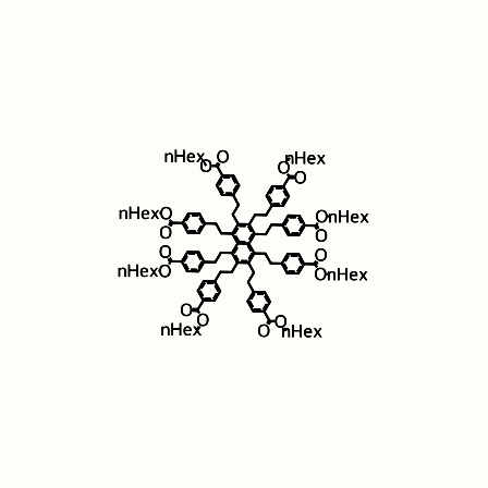 CCCCCCOC(=O)c1ccc(CCc2c(CCc3ccc(C(=O)OCCCCCC)cc3)c(CCc3ccc(C(=O)OCCCCCC)cc3)c3c(CCc4ccc(C(=O)OCCCCCC)cc4)c(CCc4ccc(C(=O)OCCCCCC)cc4)c(CCc4ccc(C(=O)OCCCCCC)cc4)c(CCc4ccc(C(=O)OCCCCCC)cc4)c3c2CCc2ccc(C(=O)OCCCCCC)cc2)cc1